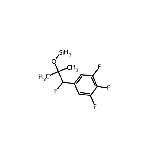 CC(C)(O[SiH3])C(F)c1cc(F)c(F)c(F)c1